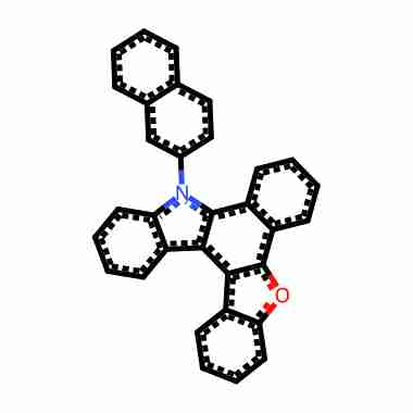 c1ccc2cc(-n3c4ccccc4c4c5c6ccccc6oc5c5ccccc5c43)ccc2c1